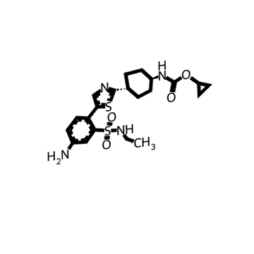 CCNS(=O)(=O)c1cc(N)ccc1-c1cnc([C@H]2CC[C@H](NC(=O)OC3CC3)CC2)s1